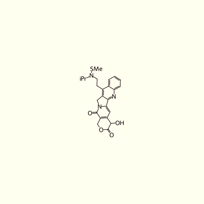 CSN(CCc1c2c(nc3ccccc13)-c1cc3c(c(=O)n1C2)COC(=O)C3O)C(C)C